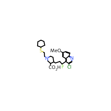 COc1ccc2ncc(Cl)c([C@H](F)CCC3CCN(CCSC4CCCCC4)CC3C(=O)O)c2c1